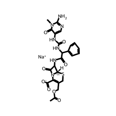 CC(=O)OCC1=C(C(=O)[O-])N2C(=O)C(NC(=O)C(NC(=O)Nc3cnc(N)n(C)c3=O)c3ccccc3)[C@@H]2SC1.[Na+]